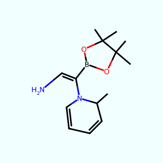 CC1C=CC=CN1/C(=C\N)B1OC(C)(C)C(C)(C)O1